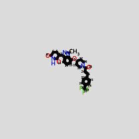 Cn1nc(C2CCC(=O)NC2=O)c2cccc(OC3CCN(C(=O)/C=C/c4ccc(C(F)(F)F)cc4)CC3)c21